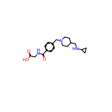 O=C(O)CNC(=O)c1ccc(CN2CCC(CNC3CC3)CC2)cc1